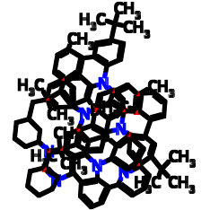 Cc1cc2c3c(c1)N(c1ccc(C(C)(C)C)cc1-c1ccccc1C)c1ccc(C(C)(C)CC4CCCC(N(c5cc6c7c(c5)N(c5c(-c8ccccn8)cccc5-c5ccccn5)c5ccccc5B7c5ccccc5N6c5ccccc5)C5CCCCC5)C4)cc1B3c1cc(C(C)(C)C)ccc1N2c1ccc(C(C)(C)C)cc1-c1ccccc1C